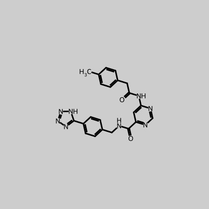 Cc1ccc(CC(=O)Nc2cc(C(=O)NCc3ccc(-c4nnn[nH]4)cc3)ncn2)cc1